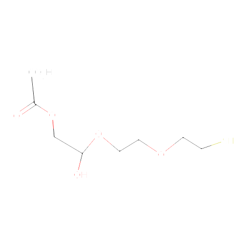 O=C(O)C(=O)OCC(O)OCCOCCS